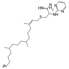 CC(=CCSCC(Nc1ncccn1)C(=N)N)CCCC(C)CCCC(C)CCCC(C)C